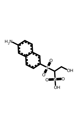 Nc1ccc2cc(S(=O)(=O)C(CO)S(=O)(=O)O)ccc2c1